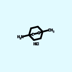 CC12CCC(N)(CC1)CO2.Cl